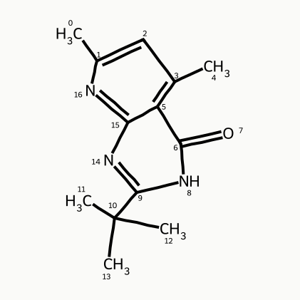 Cc1cc(C)c2c(=O)[nH]c(C(C)(C)C)nc2n1